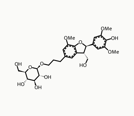 COc1cc([C@@H]2Oc3c(OC)cc(CCCO[C@@H]4O[C@H](CO)[C@@H](O)[C@H](O)[C@H]4O)cc3[C@H]2CO)cc(OC)c1O